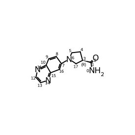 NC(=O)[C@@H]1CCN(c2ccc3nccnc3c2)C1